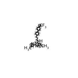 Cc1cc(-c2nc(NCCCc3ccc(-c4ccc(OC(F)(F)F)cc4)cc3)c3cc(C)sc3n2)no1